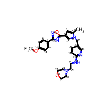 Cc1cc(-c2nc(-c3ccc(OC(F)(F)F)cc3)no2)cn1Cc1ccc(NCCN2CCOCC2)nc1